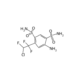 Nc1cc(C(F)(F)C(F)Cl)c(S(N)(=O)=O)cc1S(N)(=O)=O